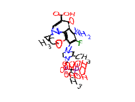 COc1c(N2CCN(C(=O)OC(C)(P(=O)(O)O)P(=O)(O)O)C(C)C2)c(F)c(N)c2c(=O)c(C(=O)O)cn(C3CC3)c12